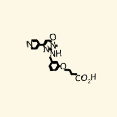 Cn1c(NCc2cccc(OCCCCC(=O)O)c2)nc(-c2ccncc2)cc1=O